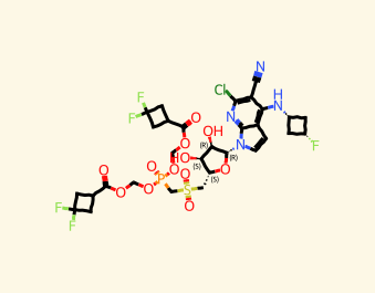 N#Cc1c(Cl)nc2c(ccn2[C@@H]2O[C@H](CS(=O)(=O)CP(=O)(OCOC(=O)C3CC(F)(F)C3)OCOC(=O)C3CC(F)(F)C3)[C@@H](O)[C@H]2O)c1N[C@H]1C[C@@H](F)C1